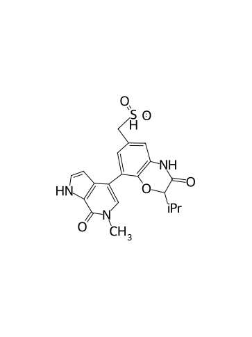 CC(C)C1Oc2c(cc(C[SH](=O)=O)cc2-c2cn(C)c(=O)c3[nH]ccc23)NC1=O